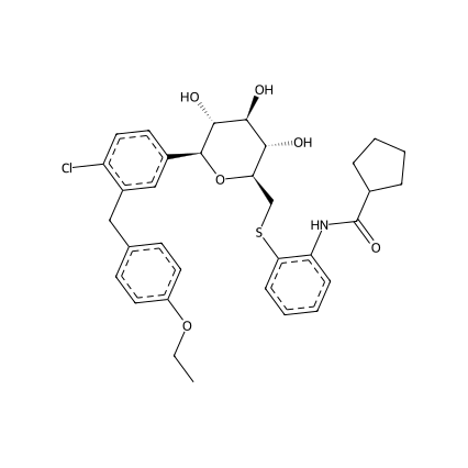 CCOc1ccc(Cc2cc([C@@H]3O[C@H](CSc4ccccc4NC(=O)C4CCCC4)[C@@H](O)[C@H](O)[C@H]3O)ccc2Cl)cc1